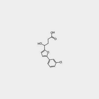 O=C(O)CCC(O)c1ccc(-c2cccc(Cl)c2)o1